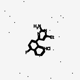 CCc1cc(-c2ccc(F)c3ccccc23)nc(N)n1.Cl